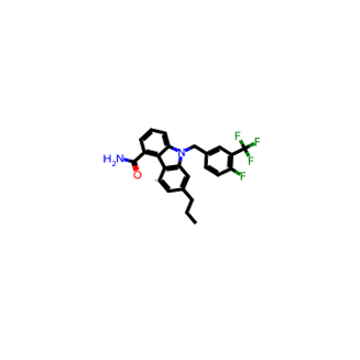 CCCc1c[c]c2c3c(C(N)=O)cccc3n(Cc3ccc(F)c(C(F)(F)F)c3)c2c1